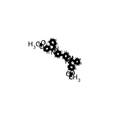 CC(=O)Oc1ccc(-c2nc3ccc(-c4ccc5nc(-c6ccccc6)c(-c6ccc(OC(C)=O)cc6)nc5c4)cc3nc2-c2ccccc2)cc1